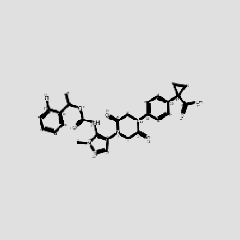 CC(OC(=O)Nc1c(N2CC(=O)N(c3ccc(C4(C(=O)O)CC4)cc3)CC2=O)cnn1C)c1ccccc1Cl